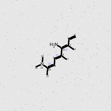 C=C/C(C)=C(N)/C(C)=C/C=C(/C)N(C)C